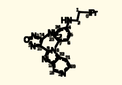 CC(C)CCNc1ccc(-n2c(-c3nonc3N)nc3cnccc32)cc1